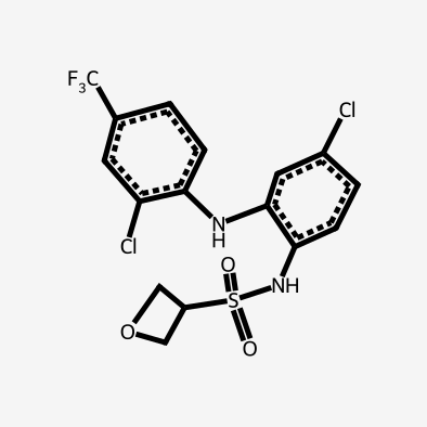 O=S(=O)(Nc1ccc(Cl)cc1Nc1ccc(C(F)(F)F)cc1Cl)C1COC1